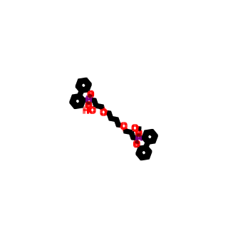 COC(COCCCCOCC(O)CP1(=O)Oc2ccccc2-c2ccccc21)CP1(=O)Oc2ccccc2-c2ccccc21